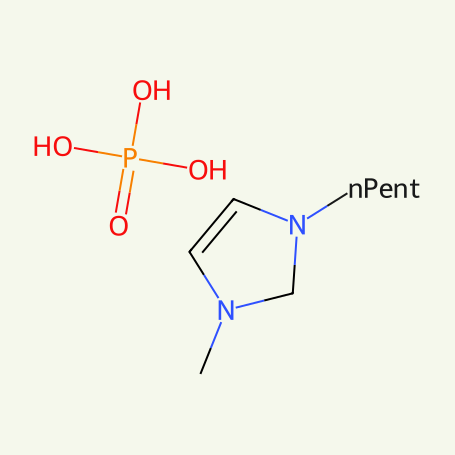 CCCCCN1C=CN(C)C1.O=P(O)(O)O